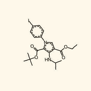 CCOC(=O)c1cn(-c2ccc(I)cc2)c(C(=O)OC(C)(C)C)c1NC(C)C